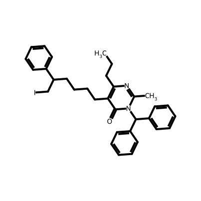 CCCc1nc(C)n(C(c2ccccc2)c2ccccc2)c(=O)c1CCCCC(CI)c1ccccc1